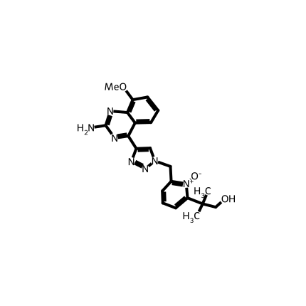 COc1cccc2c(-c3cn(Cc4cccc(C(C)(C)CO)[n+]4[O-])nn3)nc(N)nc12